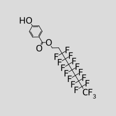 O=C(OCCC(F)(F)C(F)(F)C(F)(F)C(F)(F)C(F)(F)C(F)(F)C(F)(F)C(F)(F)F)c1ccc(O)cc1